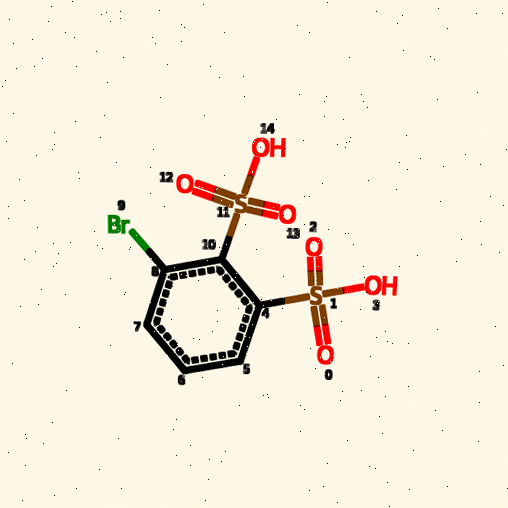 O=S(=O)(O)c1cccc(Br)c1S(=O)(=O)O